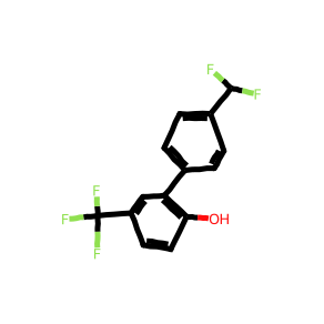 Oc1ccc(C(F)(F)F)cc1-c1ccc(C(F)F)cc1